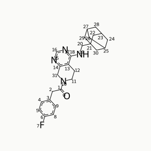 O=C(Cc1ccc(F)cc1)N1CCc2c(ncnc2NCC23CC4CC(CC(C4)C2)C3)C1